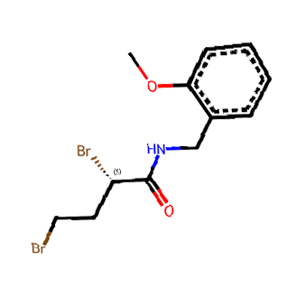 COc1ccccc1CNC(=O)[C@@H](Br)CCBr